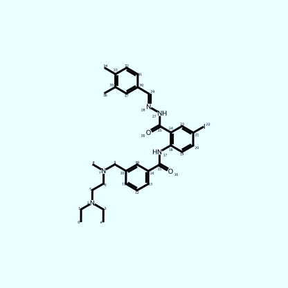 CCN(CC)CCN(C)Cc1cccc(C(=O)Nc2ccc(I)cc2C(=O)N/N=C/c2ccc(C)c(C)c2)c1